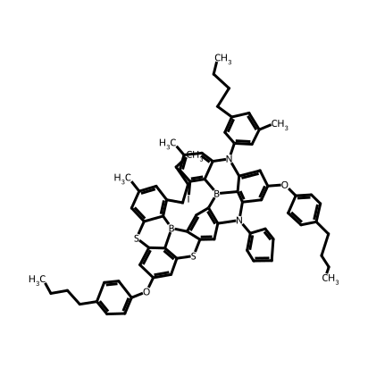 CCCCc1ccc(Oc2cc3c4c(c2)Sc2cc(C)cc(CCCC)c2B4c2cc4c(cc2S3)N(c2ccccc2)c2cc(Oc3ccc(CCCC)cc3)cc3c2B4c2c(I)cc(C)cc2N3c2cc(C)cc(CCCC)c2)cc1